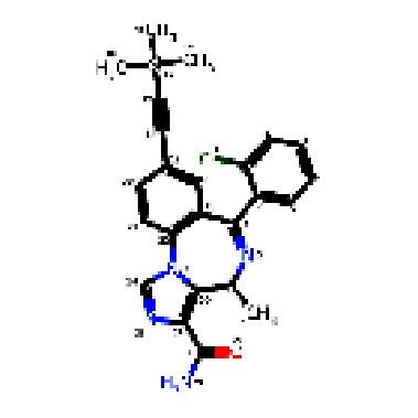 C[C@@H]1N=C(c2ccccc2Cl)c2cc(C#C[Si](C)(C)C)ccc2-n2cnc(C(N)=O)c21